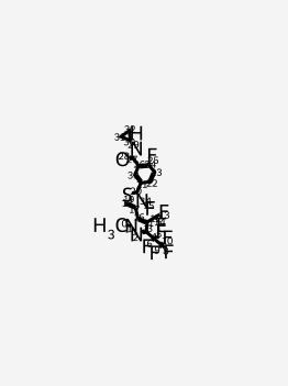 Cn1nc(C(F)(F)C(F)(F)F)c(C(F)(F)F)c1-c1csc(-c2ccc(F)c(C(=O)NC3CC3)c2)n1